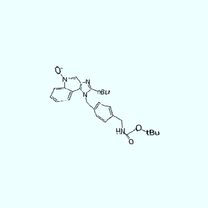 CCCCc1nc2c[n+]([O-])c3ccccc3c2n1Cc1ccc(CNC(=O)OC(C)(C)C)cc1